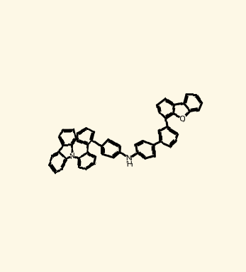 c1cc(-c2ccc(Nc3ccc(-c4ccccc4-c4ccccc4-n4c5ccccc5c5ccccc54)cc3)cc2)cc(-c2cccc3c2oc2ccccc23)c1